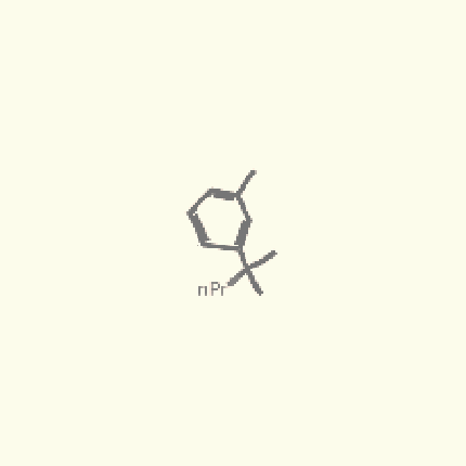 CCCC(C)(C)c1[c]ccc(C)c1